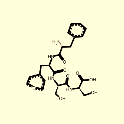 N[C@H](Cc1ccccc1)C(=O)N[C@H](Cc1ccccc1)C(=O)N[C@H](CO)C(=O)N[C@H](CO)C(=O)O